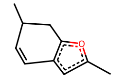 Cc1cc2c(o1)CC(C)C=C2